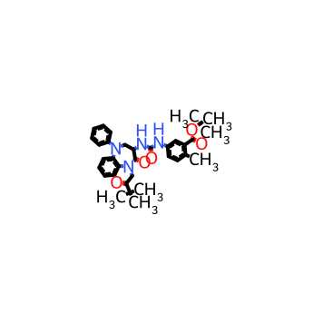 Cc1ccc(NC(=O)NC2CN(c3ccccc3)c3ccccc3N(CC(=O)C(C)(C)C)C2=O)cc1C(=O)OC(C)(C)C